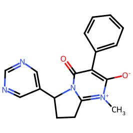 C[n+]1c([O-])c(-c2ccccc2)c(=O)n2c1CCC2c1cncnc1